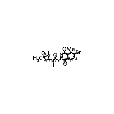 COc1nn(CC(=O)NC2CC(C)(O)C2)c(=O)c2ccc(Br)cc12